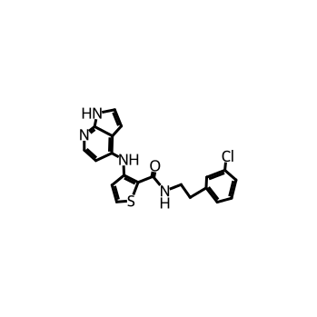 O=C(NCCc1cccc(Cl)c1)c1sccc1Nc1ccnc2[nH]ccc12